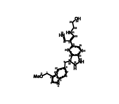 COCc1cnc2ccc(CN3NNc4ncc(/C(C=N)=C/NCCO)nc43)cn12